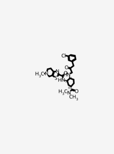 CN1CCc2nc(C(=O)N[C@@H]3C[C@@H](C(=O)N(C)C)CC[C@@H]3NCC(=O)Cc3cccc(Cl)c3)sc2C1